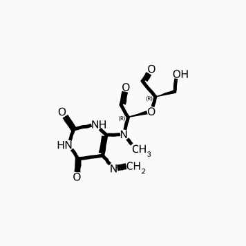 C=Nc1c(N(C)[C@@H](C=O)O[C@@H](C=O)CO)[nH]c(=O)[nH]c1=O